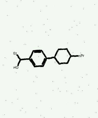 CCCC1CCC(c2ccc(C(O)CC)cc2)CC1